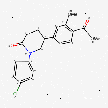 COC(=O)c1ccc(C2CCC(=O)N(c3ccc(Cl)cc3)C2)cc1OC